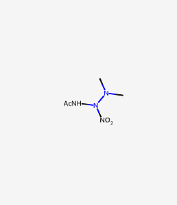 CC(=O)NN(N(C)C)[N+](=O)[O-]